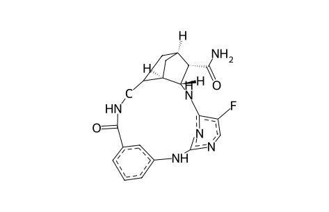 NC(=O)[C@H]1[C@@H]2CC3CNC(=O)c4cccc(c4)Nc4ncc(F)c(n4)N[C@@H]1[C@@H]3C2